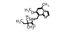 CCC(C)(C)C(=O)NCc1c(OC)cc(C)n2ccnc12